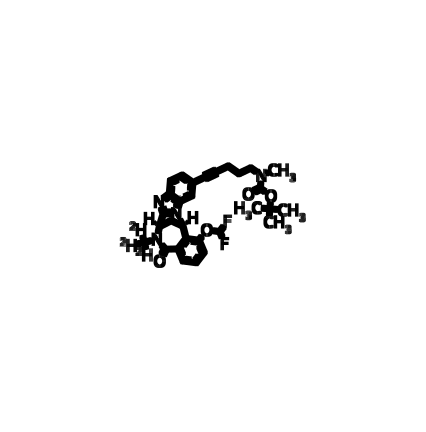 [2H]C([2H])([2H])N1C(=O)c2cccc(OC(F)F)c2[C@H]2C[C@@H]1c1nc3ccc(C#CCCCN(C)C(=O)OC(C)(C)C)cc3n12